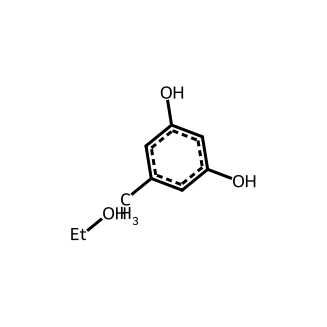 CCO.Cc1cc(O)cc(O)c1